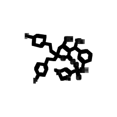 Cn1cnc(S(=O)(=O)Nc2cccc(C(C3=C(O)CC(CCc4ccc(F)cc4)(CCc4ccc(F)cc4)OC3=O)C(C)(C)C)c2)c1